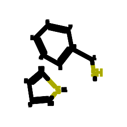 SCc1ccccc1.c1ccsc1